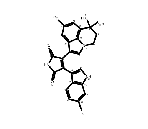 CC1(C)CCn2cc(C3=C(c4c[nH]c5cc(F)ccc45)C(=O)NC3=O)c3cc(F)cc1c32